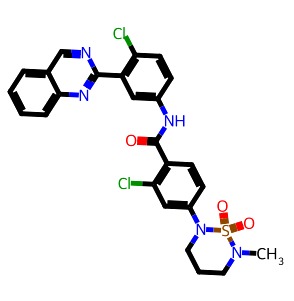 CN1CCCN(c2ccc(C(=O)Nc3ccc(Cl)c(-c4ncc5ccccc5n4)c3)c(Cl)c2)S1(=O)=O